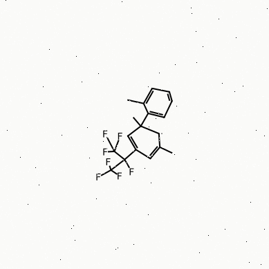 CC1=CC(C(F)(C(F)(F)F)C(F)(F)F)=CC(C)(c2ccccc2C)[CH]1